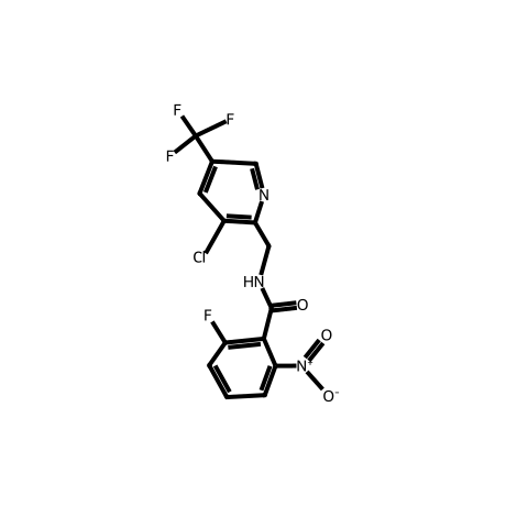 O=C(NCc1ncc(C(F)(F)F)cc1Cl)c1c(F)cccc1[N+](=O)[O-]